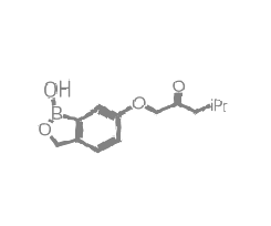 CC(C)CC(=O)COc1ccc2c(c1)B(O)OC2